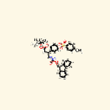 Cc1ccc(S(=O)(=O)Oc2ccc(C(CNC(=O)OCC3c4ccccc4-c4ccccc43)CC(=O)OC(C)(C)C)cc2)cc1